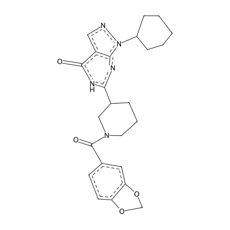 O=C(c1ccc2c(c1)OCO2)N1CCCC(c2nc3c(cnn3C3CCCCC3)c(=O)[nH]2)C1